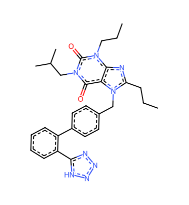 CCCc1nc2c(c(=O)n(CC(C)C)c(=O)n2CCC)n1Cc1ccc(-c2ccccc2-c2nnn[nH]2)cc1